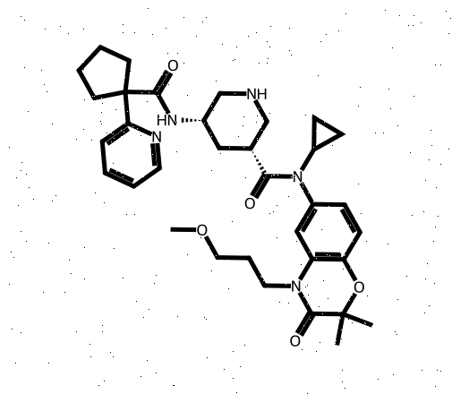 COCCCN1C(=O)C(C)(C)Oc2ccc(N(C(=O)[C@H]3CNC[C@@H](NC(=O)C4(c5ccccn5)CCCC4)C3)C3CC3)cc21